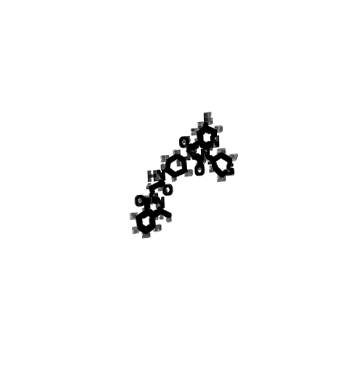 Cc1nn(CC(=O)N[C@H]2CC[C@@H](n3c(=O)c4cc(F)cnc4n(C4CCSCC4)c3=O)CC2)c(=O)c2ccccc12